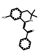 CC1(C)Cc2ccc(O)cc2/C(=C/C(=O)c2ccccc2)N1